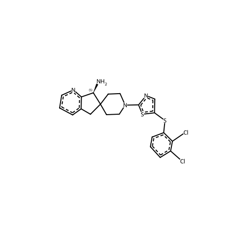 N[C@@H]1c2ncccc2CC12CCN(c1ncc(Sc3cccc(Cl)c3Cl)s1)CC2